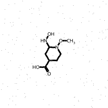 CON1CCC(C(=O)O)CC1NO